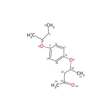 CCC(C)Oc1ccc(OC(C)CC(C)=O)cc1